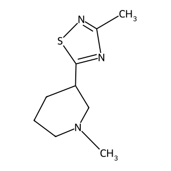 Cc1nsc(C2CCCN(C)C2)n1